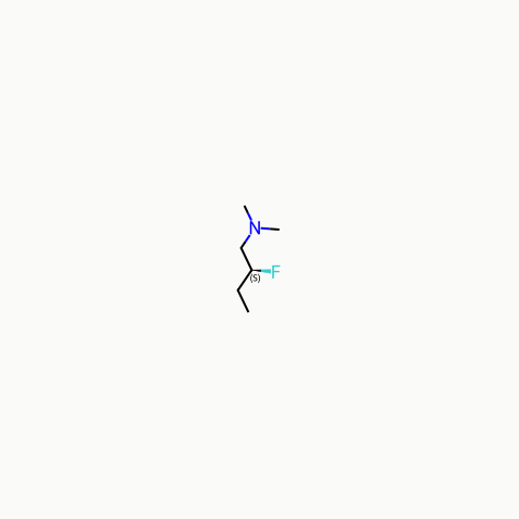 CC[C@H](F)CN(C)C